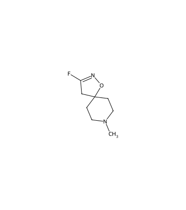 CN1CCC2(CC1)CC(F)=NO2